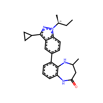 CC[C@H](C)n1nc(C2CC2)c2cc(-c3cccc4c3NC(C)CC(=O)N4)ccc21